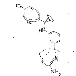 CC1(c2cccc(NC(=O)c3ccc(Cl)cn3)c2)CCSC(N)=N1